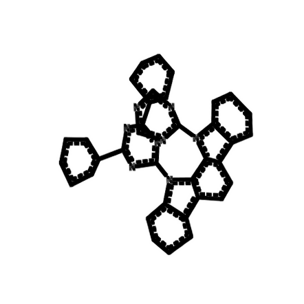 c1ccc(-c2nc(-c3ccccc3)nc(-n3c4ccccc4c4ccc5c6ccccc6n(-c6ncncn6)c5c43)n2)cc1